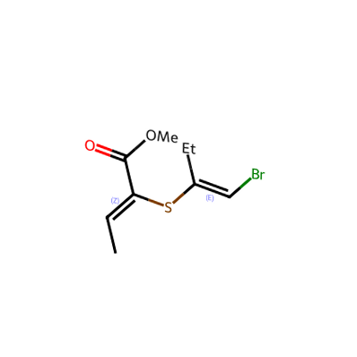 C/C=C(\S/C(=C/Br)CC)C(=O)OC